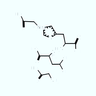 CC(C)CC(N)C(=O)O.NC(Cc1c[nH]cn1)C(=O)O.NCC(=O)O.NCC(=O)O